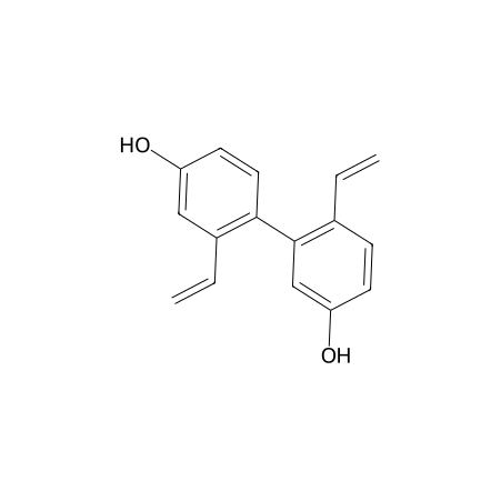 C=Cc1cc(O)ccc1-c1cc(O)ccc1C=C